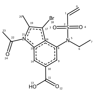 C=CS(=O)(=O)N(CC)c1cc(C(=O)O)cc2c1c(Br)c(C)n2C(C)=O